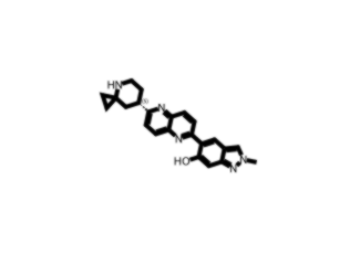 Cn1cc2cc(-c3ccc4nc([C@H]5CCNC6(CC6)C5)ccc4n3)c(O)cc2n1